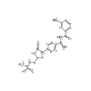 CC(C)(C)c1cccc(C(=O)NC(=N)c2ccc(N3CC(COS(C)(=O)=O)OC3=O)cc2)c1